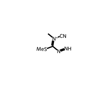 CSC(N=N)=[N+](C)C#N